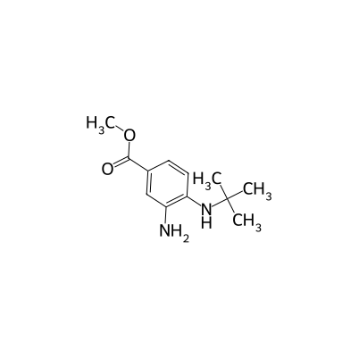 COC(=O)c1ccc(NC(C)(C)C)c(N)c1